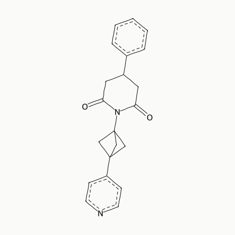 O=C1CC(c2ccccc2)CC(=O)N1C12CC(c3ccncc3)(C1)C2